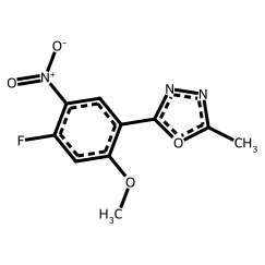 COc1cc(F)c([N+](=O)[O-])cc1-c1nnc(C)o1